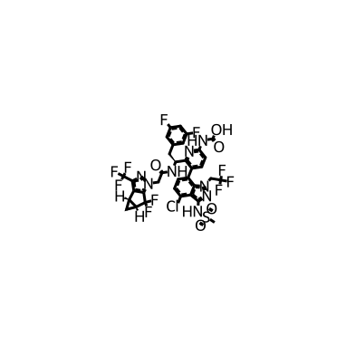 CS(=O)(=O)Nc1nn(CC(F)(F)F)c2c(-c3ccc(NC(=O)O)nc3[C@H](Cc3cc(F)cc(F)c3)NC(=O)Cn3nc(C(F)(F)F)c4c3C(F)(F)[C@@H]3C[C@H]43)ccc(Cl)c12